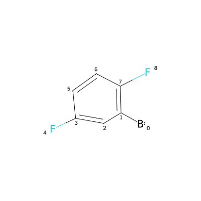 [B]c1cc(F)ccc1F